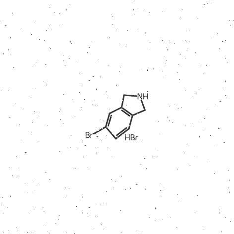 Br.Brc1ccc2c(c1)CNC2